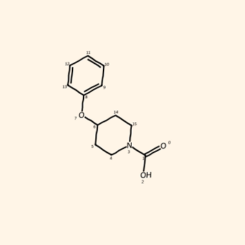 O=C(O)N1CCC(Oc2ccccc2)CC1